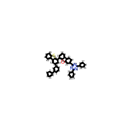 c1ccc(-c2cccc(-c3cc(-c4cccc5c4oc4cc(-c6nc(-c7ccccc7)nc(-c7ccccc7)n6)ccc45)c4sc5ccccc5c4c3)c2)cc1